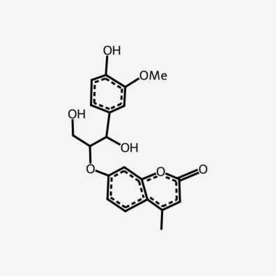 COc1cc(C(O)C(CO)Oc2ccc3c(C)cc(=O)oc3c2)ccc1O